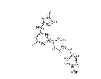 Cc1cc(Nc2cc(C)[nH]n2)nc(N2CCN(Cc3ccc(Br)nc3)CC2)n1